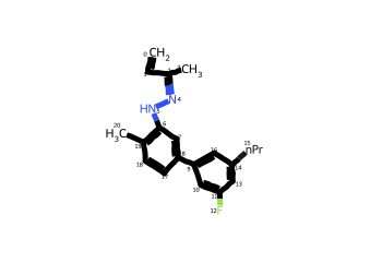 C=C/C(C)=N\Nc1cc(-c2cc(F)cc(CCC)c2)ccc1C